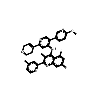 COc1ccc(-c2cnc(C3=CCOCC3)cc2Nc2c(C)c(-c3cc(C)ccn3)nc3cc(F)cc(F)c23)cn1